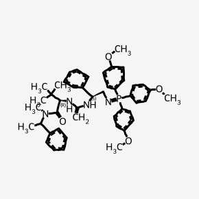 C=C(N[C@H](CN=P(c1ccc(OC)cc1)(c1ccc(OC)cc1)c1ccc(OC)cc1)c1ccccc1)N[C@@H](C(=O)N(C)C(C)c1ccccc1)C(C)(C)C